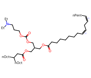 CCCCC/C=C\C/C=C\CCCCCCCC(=O)OCC(COC(=O)CC(CCCCCCCC)CCCCCCCC)COC(=O)OCCCN(CC)CC